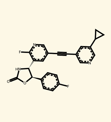 O=C1N[C@H](c2cc(C#Cc3cncc(C4CC4)c3)cnc2F)[C@@H](c2ccc(F)cc2)O1